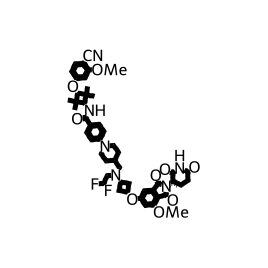 COc1cc(OC2C(C)(C)C(NC(=O)c3ccc(N4CCC(CN(CC(F)F)C5CC(Oc6cc(OC)c7c(c6)C(=O)N([C@@H]6CCC(=O)NC6=O)C7=O)C5)CC4)cc3)C2(C)C)ccc1C#N